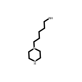 [NH]CCCCCN1CCNCC1